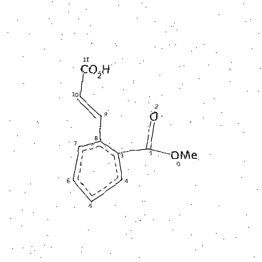 COC(=O)c1ccccc1C=CC(=O)O